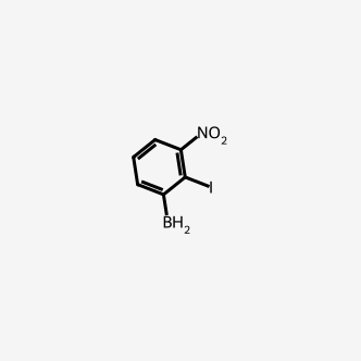 Bc1cccc([N+](=O)[O-])c1I